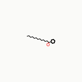 CCCCCCCCCCCCC(=O)c1ccccc1